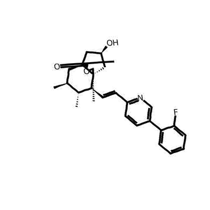 C[C@@H]1[C@@H](C)C[C@]23C[C@@H](O)C[C@]2([C@@H](C)OC3=O)[C@H]1/C=C/c1ccc(-c2ccccc2F)cn1